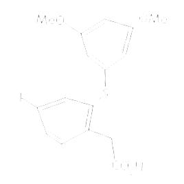 COc1cc(OC)cc(Sc2cc(I)ccc2CC(=O)O)c1